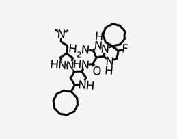 CN(C)CCC1CNN(C2CC(C3CCCCCCCCC3)NCC2NC(=O)C2C(N)NN3C2NCC(F)C32CCCCCCCC2)C1